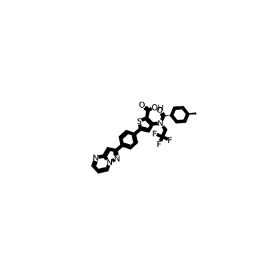 C[C@H]1CC[C@H](C(=O)N(CC(F)(F)F)c2cc(-c3ccc(-c4cc5ncccn5n4)cc3)sc2C(=O)O)CC1